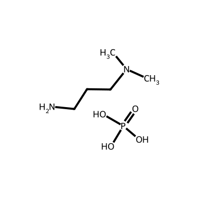 CN(C)CCCN.O=P(O)(O)O